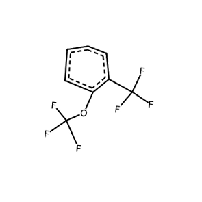 FC(F)(F)Oc1ccccc1C(F)(F)F